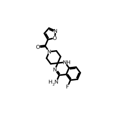 NC1=NC2(CCN(C(=O)c3ccno3)CC2)Nc2cccc(F)c21